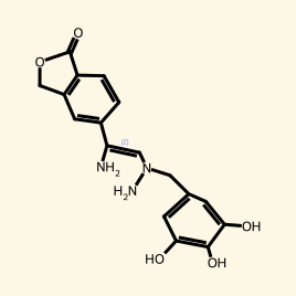 N/C(=C\N(N)Cc1cc(O)c(O)c(O)c1)c1ccc2c(c1)COC2=O